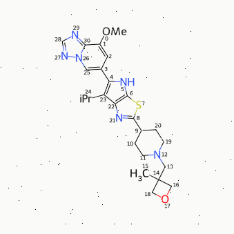 COc1cc(-c2[nH]c3sc(C4CCN(CC5(C)COC5)CC4)nc3c2C(C)C)cn2ncnc12